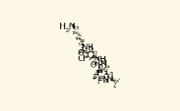 Cn1c(-c2cn(C3CC3)nc2C(F)(F)F)cnc1C(=O)Nc1ccc(C(=O)NCCCCCCN)c(Cl)c1